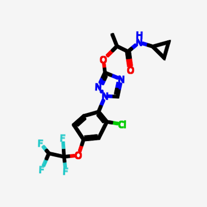 CC(Oc1ncn(-c2ccc(OC(F)(F)C(F)F)cc2Cl)n1)C(=O)NC1CC1